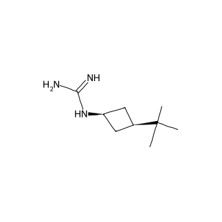 CC(C)(C)[C@H]1C[C@@H](NC(=N)N)C1